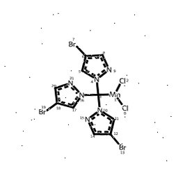 [Cl][Mn]([Cl])[C](n1cc(Br)cn1)(n1cc(Br)cn1)n1cc(Br)cn1